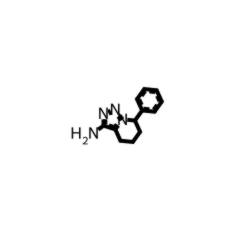 Nc1nnn2c1CCCC2c1ccccc1